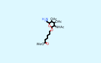 COC(=O)CCCCCOC1OC(CN)C(OC(C)=O)C(OC(C)=O)C1NC(C)=O